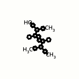 Cc1ccc(-c2cc(-c3ccc(C)cc3)cc(-c3cc(C4CCCCC4)cc4c3ccc3c5cc(C6CCCCC6)cc(-c6cc(-c7ccc(C)cc7)cc(-c7ccc(O)cc7)c6)c5ccc43)c2)cc1